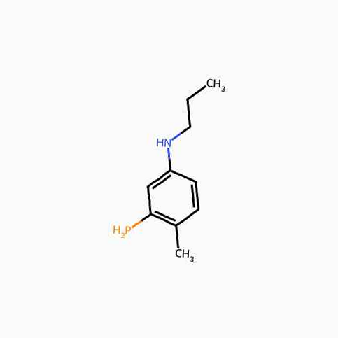 CCCNc1ccc(C)c(P)c1